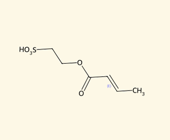 C/C=C/C(=O)OCCS(=O)(=O)O